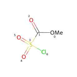 COC(=O)S(=O)(=O)Cl